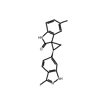 Cc1ccc2c(c1)C1(C[C@H]1c1ccc3c(I)n[nH]c3c1)C(=O)N2